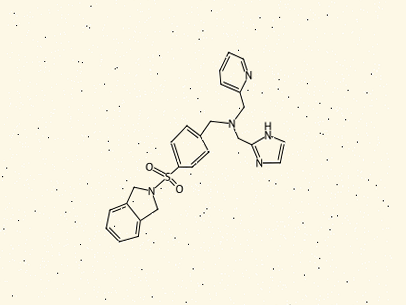 O=S(=O)(c1ccc(CN(Cc2ccccn2)Cc2ncc[nH]2)cc1)N1Cc2ccccc2C1